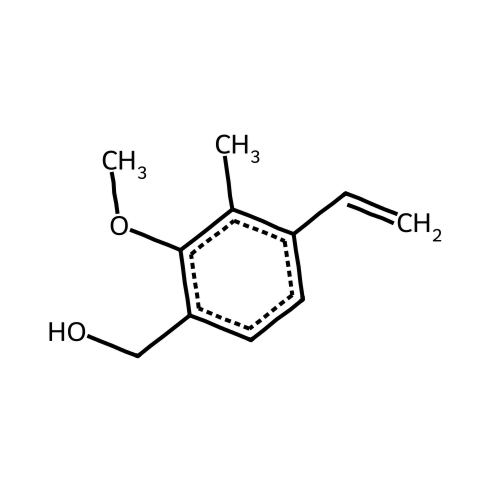 C=Cc1ccc(CO)c(OC)c1C